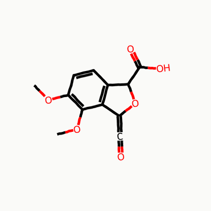 COc1ccc2c(c1OC)C(=C=O)OC2C(=O)O